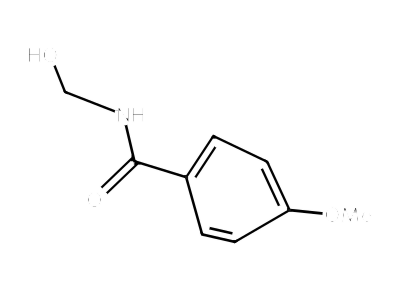 COc1ccc(C(=O)NCO)cc1